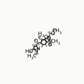 CCn1nc(C(=O)c2ccc(S(C)(=O)=O)c(OCCOC)c2C)cc1O